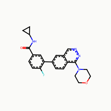 O=C(NC1CC1)c1ccc(F)c(-c2ccc3c(N4CCOCC4)nncc3c2)c1